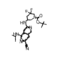 CC(C)Nc1nc(C#N)cc2cnc(NC3CN(C(=O)OC(C)(C)C)CC(F)(F)C3)cc12